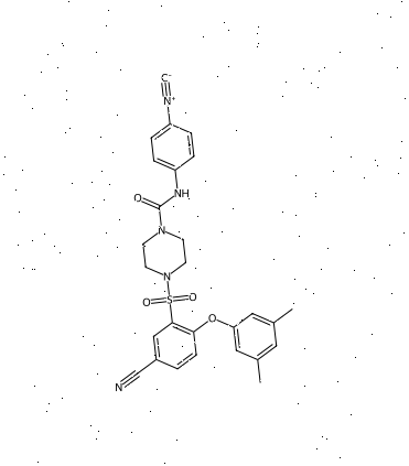 [C-]#[N+]c1ccc(NC(=O)N2CCN(S(=O)(=O)c3cc(C#N)ccc3Oc3cc(C)cc(C)c3)CC2)cc1